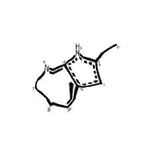 Cc1cc2c([nH]1)=NCCC=2